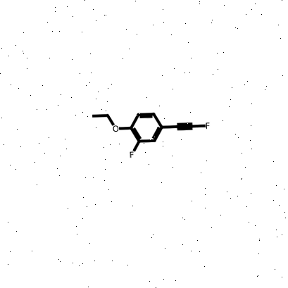 CCOc1ccc(C#CF)cc1F